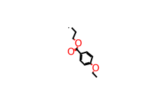 [CH2]CCOC(=O)c1ccc(OCC)cc1